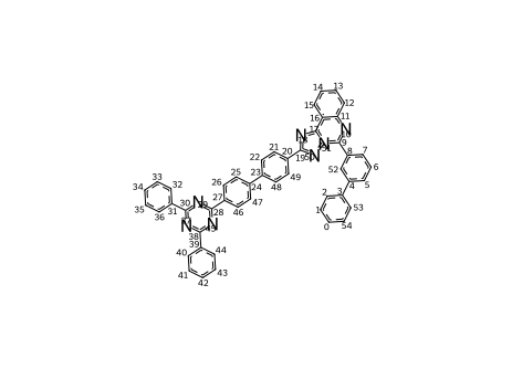 c1ccc(-c2cccc(-c3nc4ccccc4c4nc(-c5ccc(-c6ccc(-c7nc(-c8ccccc8)nc(-c8ccccc8)n7)cc6)cc5)nn34)c2)cc1